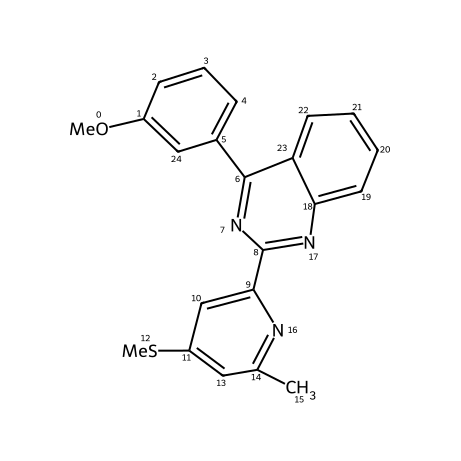 COc1cccc(-c2nc(-c3cc(SC)cc(C)n3)nc3ccccc23)c1